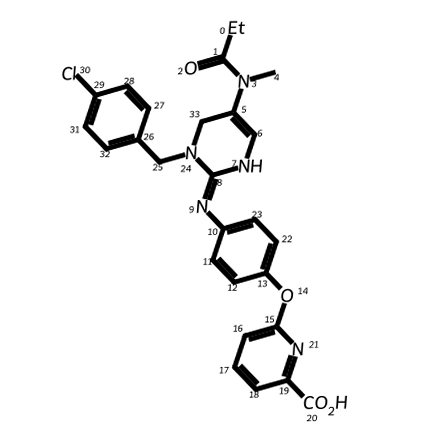 CCC(=O)N(C)C1=CN/C(=N\c2ccc(Oc3cccc(C(=O)O)n3)cc2)N(Cc2ccc(Cl)cc2)C1